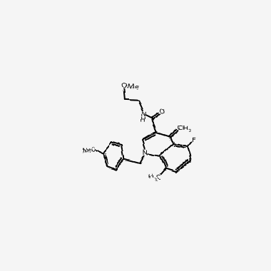 C=C1C(C(=O)NCCOC)=CN(Cc2ccc(OC)cc2)c2c(C)ccc(F)c21